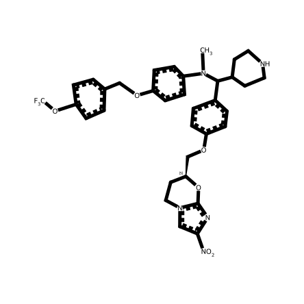 CN(c1ccc(OCc2ccc(OC(F)(F)F)cc2)cc1)C(c1ccc(OC[C@@H]2CCn3cc([N+](=O)[O-])nc3O2)cc1)C1CCNCC1